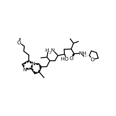 COCCCc1cnc2cc(C)c(CC(CC(N)C(O)CC(C(=O)NC[C@@H]3CCCO3)C(C)C)C(C)C)cn12